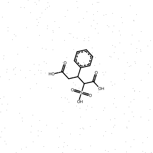 O=C(O)CC(c1ccccc1)C(C(=O)O)S(=O)(=O)O